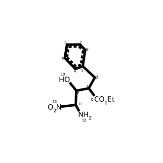 CCOC(=O)C(Cc1ccccc1)C(O)C(N)[N+](=O)[O-]